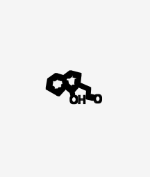 O=CCc1ccc2ccccc2c1O